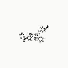 N#Cc1ccc(CCNC(C(=O)c2c[nH]c3cc(C(=O)N4CCCC4)ccc23)c2ccccc2)cc1